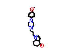 COc1ccc(N2CCN(CCCn3ccc4c3CCCC4=O)CC2)cc1